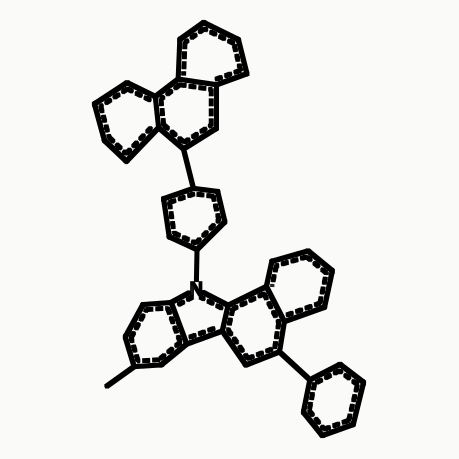 Cc1ccc2c(c1)c1cc(-c3ccccc3)c3ccccc3c1n2-c1ccc(-c2cc3ccccc3c3ccccc23)cc1